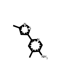 Cc1cc(-c2cc(C)c(N)cn2)sn1